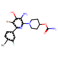 N#Cc1ccc(-c2nc(N3CCC(OC(N)=O)CC3)c(N)c(O)c2Br)cc1F